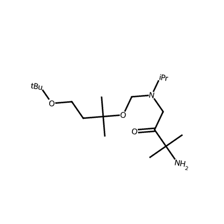 CC(C)N(COC(C)(C)CCOC(C)(C)C)CC(=O)C(C)(C)N